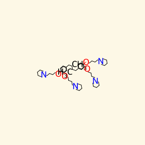 C[C@H](Cc1ccc(OCCCCN2CCCCC2)c(OCCCCN2CCCCC2)c1)[C@@H](C)Cc1ccc(OCCCCN2CCCCC2)c(OCCCCN2CCCCC2)c1